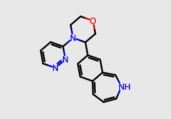 C1=CNC=c2cc(C3COCCN3c3cccnn3)ccc2=C1